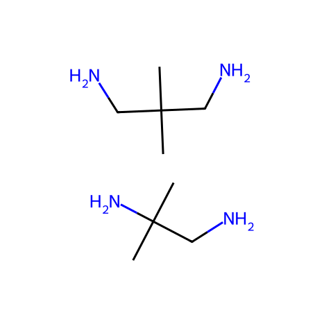 CC(C)(CN)CN.CC(C)(N)CN